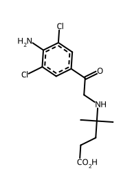 CC(C)(CCC(=O)O)NCC(=O)c1cc(Cl)c(N)c(Cl)c1